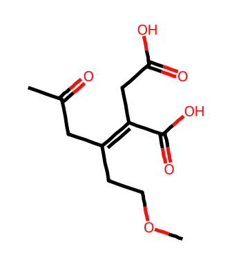 COCCC(CC(C)=O)=C(CC(=O)O)C(=O)O